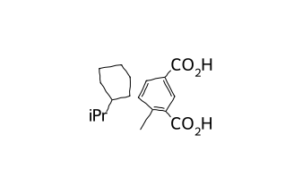 CC(C)C1CCCCC1.Cc1ccc(C(=O)O)cc1C(=O)O